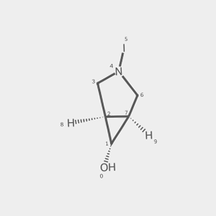 O[C@@H]1[C@H]2CN(I)C[C@@H]12